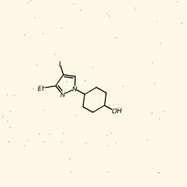 CCc1nn(C2CCC(O)CC2)cc1I